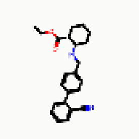 CCOC(=O)[C@H]1CCCC[C@H]1NCc1ccc(-c2ccccc2C#N)cc1